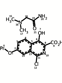 CC(C)Oc1ccc2c(O)c(C(=O)O)nc(Cl)c2c1.CN(C)CC(N)=O